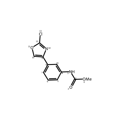 COC(=O)Nc1cccc(-c2coc(Cl)n2)c1